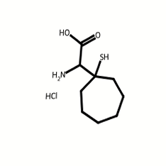 Cl.NC(C(=O)O)C1(S)CCCCCC1